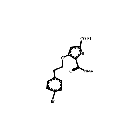 CCOC(=O)c1cc(OCCc2ccc(Br)cc2)c(C(=O)NC)[nH]1